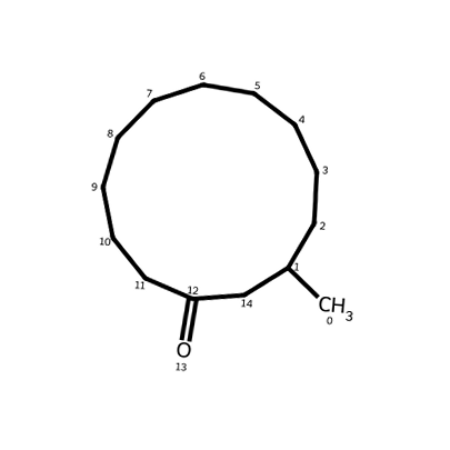 CC1CCCCCCCCCCC(=O)C1